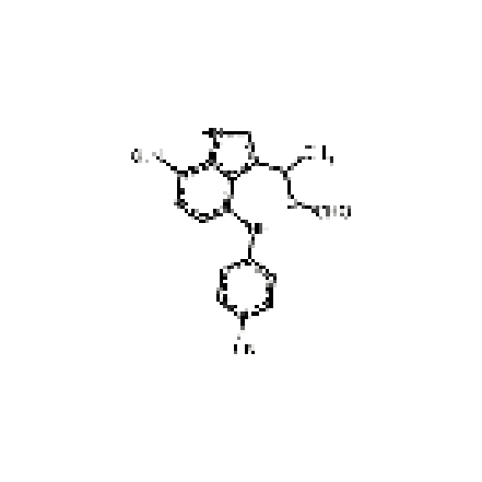 CC(OC=O)c1c[nH]c2c([N+](=O)[O-])ccc(Nc3ccc(C#N)cc3)c12